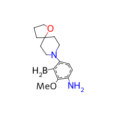 Bc1c(N2CCC3(CCCO3)CC2)ccc(N)c1OC